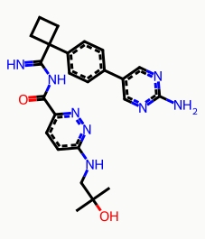 CC(C)(O)CNc1ccc(C(=O)NC(=N)C2(c3ccc(-c4cnc(N)nc4)cc3)CCC2)nn1